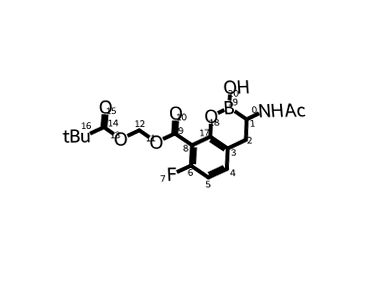 CC(=O)NC1Cc2ccc(F)c(C(=O)OCOC(=O)C(C)(C)C)c2OB1O